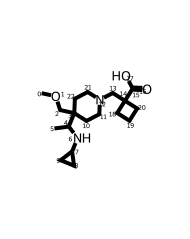 COCC1(C(C)NC2CC2)CCN(CC2(C(=O)O)CCC2)CC1